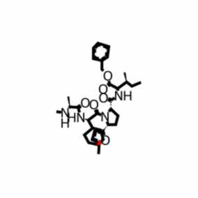 CC[C@H](C)C(NC(=O)[C@@H]1CC[C@H](c2ccc(C)o2)N1C(=O)[C@@H](NC(=O)[C@H](C)NC)C1CCCCC1)C(=O)OCc1ccccc1